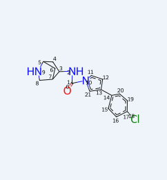 O=C(NC1CC2CC1CN2)n1ccc(-c2ccc(Cl)cc2)c1